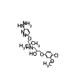 COc1cc(OCC(O)CNC(C)(C)COc2ccc(NN)nn2)ccc1Cl